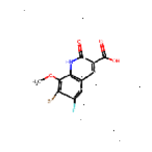 COc1c(Br)c(F)cc2cc(C(=O)O)c(=O)[nH]c12